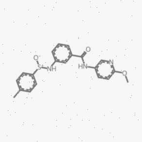 COc1ccc(NC(=O)c2cccc(N[S+]([O-])c3ccc(C)cc3)c2)cn1